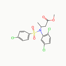 COC(=O)CC(C)N(c1cc(Cl)ccc1Cl)S(=O)(=O)c1ccc(Cl)cc1